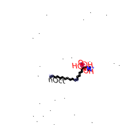 CCCCCCCC/C=C\CCCCCCCC/C=C\CCCCCC(O)(C[N+](C)(C)C)P(=O)(O)O